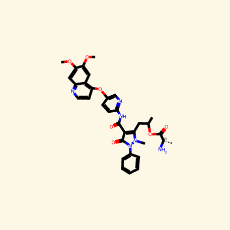 COc1cc2nccc(Oc3ccc(NC(=O)c4c(CC(C)OC(=O)[C@H](C)N)n(C)n(-c5ccccc5)c4=O)nc3)c2cc1OC